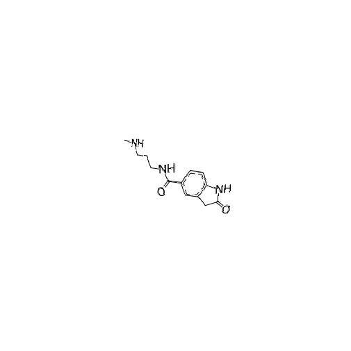 CNCCCNC(=O)c1ccc2c(c1)CC(=O)N2